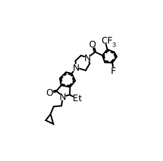 CCC1c2cc(N3CCN(C(=O)c4cc(F)ccc4C(F)(F)F)CC3)ccc2C(=O)N1CCC1CC1